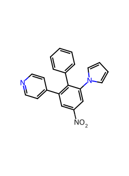 O=[N+]([O-])c1cc(-c2ccncc2)c(-c2ccccc2)c(-n2cccc2)c1